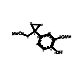 COCC1(c2ccc(O)c(OC)c2)CC1